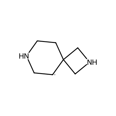 [CH]1CNCCC12CNC2